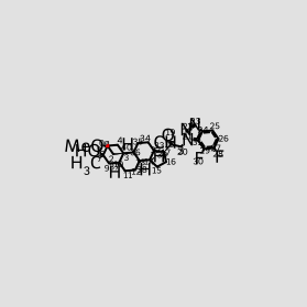 COCC[C@]12CC[C@@](C)(O)C[C@@H]1CC[C@H]1[C@@H]3CC[C@H](C(=O)Cn4nnc5ccc(F)c(F)c54)[C@@]3(C)CC[C@@H]12